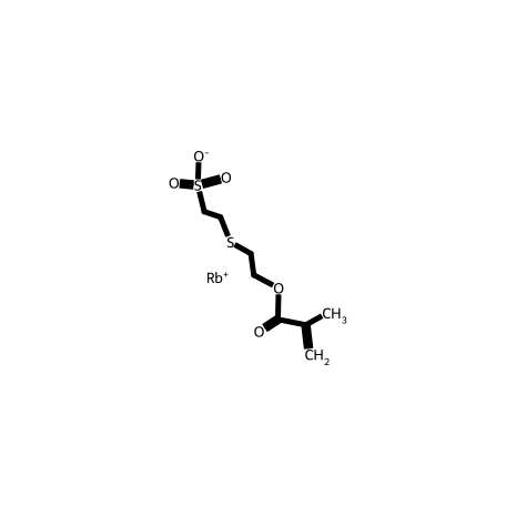 C=C(C)C(=O)OCCSCCS(=O)(=O)[O-].[Rb+]